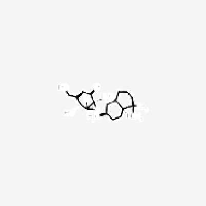 C=C1CC[C@H]2C(C)(C)CCC[C@]2(C)[C@H]1C[C@@]12O[C@@H]1[C@H](O)C(CO)=CC2=O